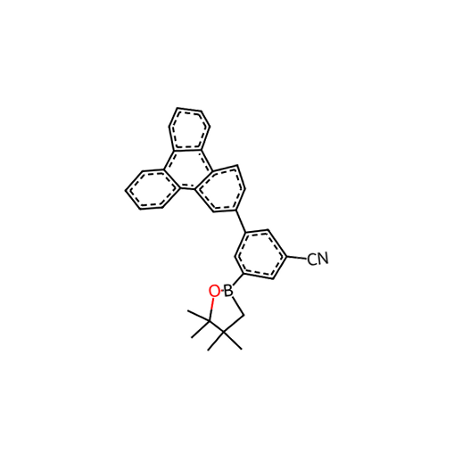 CC1(C)CB(c2cc(C#N)cc(-c3ccc4c5ccccc5c5ccccc5c4c3)c2)OC1(C)C